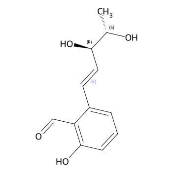 C[C@H](O)[C@H](O)/C=C/c1cccc(O)c1C=O